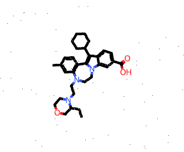 CCC1COCCN1CCN1CCn2c(c(C3CCCCC3)c3ccc(C(=O)O)cc32)-c2ccc(C)cc21